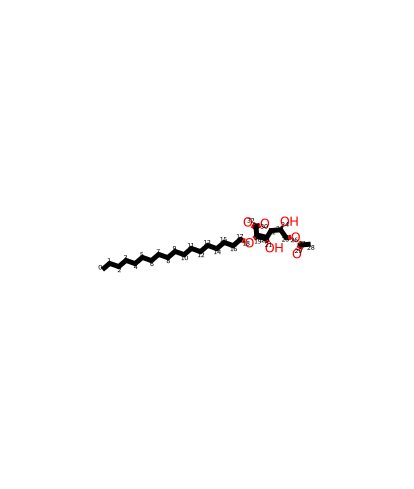 CCCCCCCCCCCCCCCCCCOC1=C(O)[C@@H]([C@@H](O)COC(C)=O)OC1=O